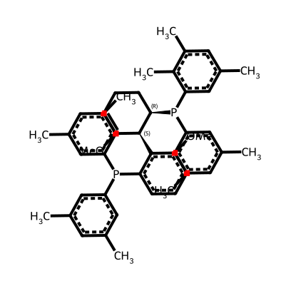 COC1=CCC[C@@H](P(c2cc(C)cc(C)c2)c2cc(C)cc(C)c2C)[C@H]1c1c(OC)cccc1P(c1cc(C)cc(C)c1)c1cc(C)cc(C)c1